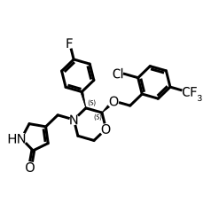 O=C1C=C(CN2CCO[C@H](OCc3cc(C(F)(F)F)ccc3Cl)[C@@H]2c2ccc(F)cc2)CN1